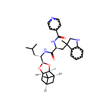 CC(C)C[C@H](NC(=O)[C@H](CC1(C)CNc2ccccc21)NC(=O)c1ccncc1)B1O[C@@H]2C[C@@H]3C[C@@H](C3(C)C)[C@]2(C)O1